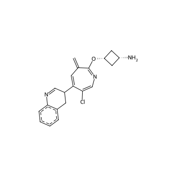 C=C1C=C(C2C=Nc3ccccc3C2)C(Cl)=CN=C1O[C@H]1C[C@@H](N)C1